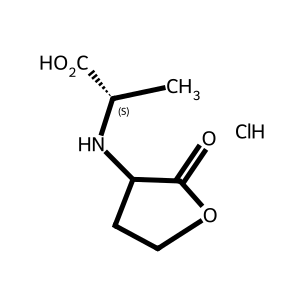 C[C@H](NC1CCOC1=O)C(=O)O.Cl